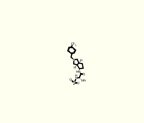 CCC[C@H](NS(C)(=O)=O)C(=O)N[C@H]1CC[C@@H]2CN(Cc3ccc(C(F)(F)F)cc3)C[C@@H]21